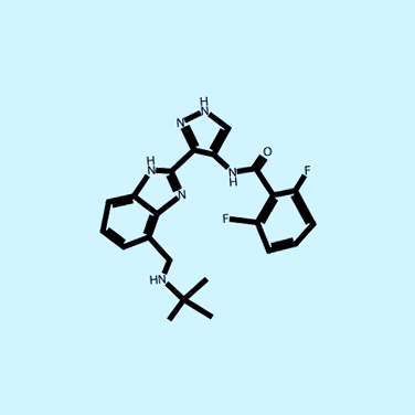 CC(C)(C)NCc1cccc2[nH]c(-c3n[nH]cc3NC(=O)c3c(F)cccc3F)nc12